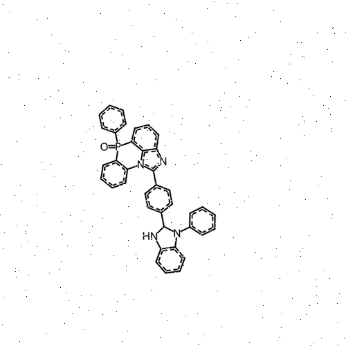 O=P1(c2ccccc2)c2ccccc2-n2c(-c3ccc(C4Nc5ccccc5N4c4ccccc4)cc3)nc3cccc1c32